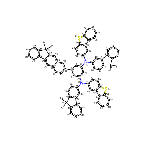 CC1(C)c2ccccc2-c2cc(N(c3cc(-c4ccc5cc6c(cc5c4)C(C)(C)c4ccccc4-6)cc(N(c4ccc5c(c4)-c4ccccc4C5(C)C)c4ccc5sc6ccccc6c5c4)c3)c3ccc4sc5ccccc5c4c3)ccc21